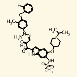 C=C(/C=N\N(N)c1ccc(Oc2ccccc2F)c(C)c1)C(=O)c1cc2cc(OC3CCN(C(C)C)CC3)c(NS(C)(=O)=O)cc2[nH]1